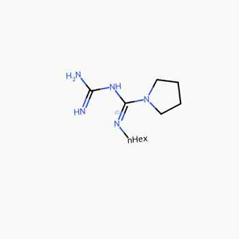 CCCCCC/N=C(/NC(=N)N)N1CCCC1